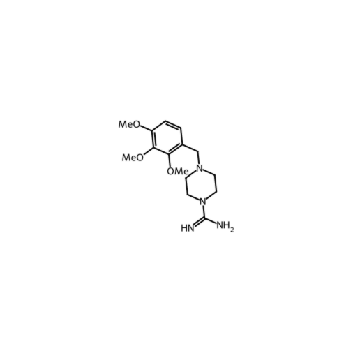 COc1ccc(CN2CCN(C(=N)N)CC2)c(OC)c1OC